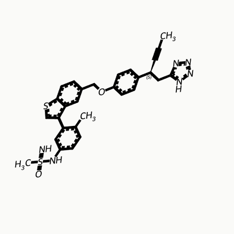 CC#C[C@@H](Cc1nnn[nH]1)c1ccc(OCc2ccc3scc(-c4cc(NS(C)(=N)=O)ccc4C)c3c2)cc1